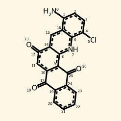 Nc1ccc(Cl)c2[nH]c3c4c(cc(=O)c-3cc12)C(=O)c1ccccc1C4=O